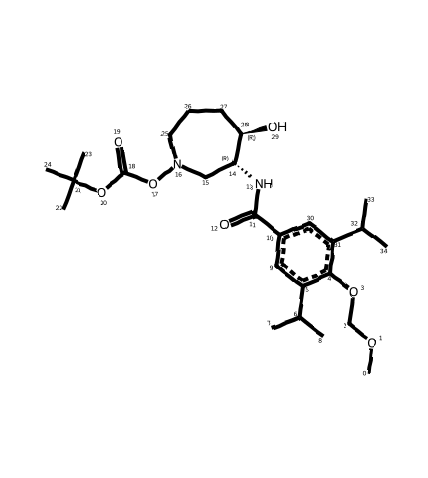 COCOc1c(C(C)C)cc(C(=O)N[C@@H]2CN(OC(=O)OC(C)(C)C)CCC[C@H]2O)cc1C(C)C